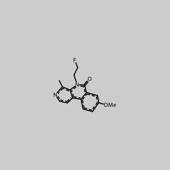 COc1ccc2c(c1)c(=O)n(CCF)c1c(C)nccc21